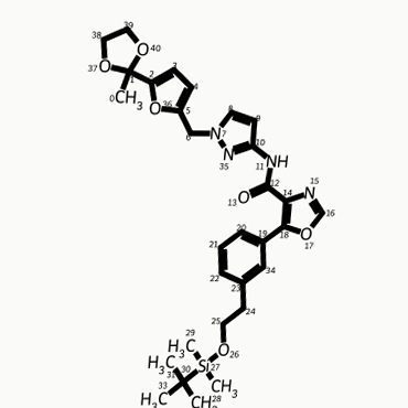 CC1(c2ccc(Cn3ccc(NC(=O)c4ncoc4-c4cccc(CCO[Si](C)(C)C(C)(C)C)c4)n3)o2)OCCO1